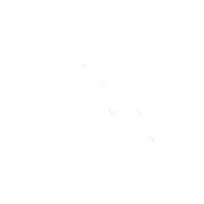 CC[C@](CC(=O)CNC(=O)c1cnccn1)(C1CCCCC1)[C@H](N)C(=O)O